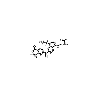 CC(=O)N(C)CCOc1ncc(C(C)(C)N)c2cc(Nc3ccc4c(n3)[C@@H](C)C(C)(C)OC4=O)ncc12